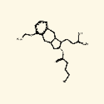 CNC(O)CCC1C2Cc3cccc(OCC(=O)O)c3CC2C[C@H]1OC(=O)CCCN=O